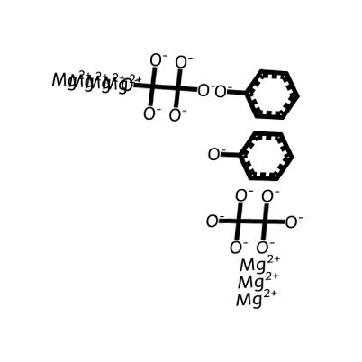 [Mg+2].[Mg+2].[Mg+2].[Mg+2].[Mg+2].[Mg+2].[Mg+2].[O-]C([O-])([O-])C([O-])([O-])[O-].[O-]C([O-])([O-])C([O-])([O-])[O-].[O-]c1ccccc1.[O-]c1ccccc1